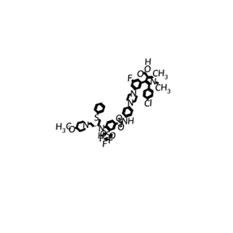 CCn1c(C)c(C(=O)O)c(-c2cc(F)cc(N3CCN(c4ccc(NS(=O)(=O)c5ccc(N[C@H](CCN6CCC(OC)CC6)CSc6ccccc6)c(S(=O)(=O)C(F)(F)F)c5)cc4)CC3)c2)c1-c1ccc(Cl)cc1